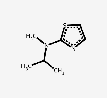 CC(C)N(C)c1nccs1